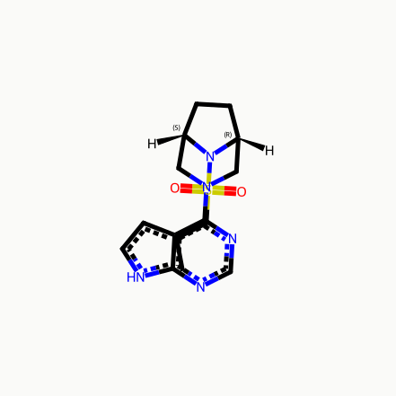 CCCS(=O)(=O)N1[C@@H]2CC[C@H]1CN(c1ncnc3[nH]ccc13)C2